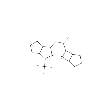 CC(CC1NC(C(C)(C)C)C2CCCC12)C1OC2CCCC21